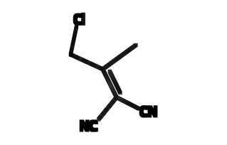 CC(CCl)=C(C#N)C#N